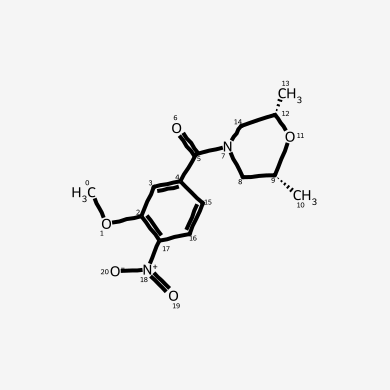 COc1cc(C(=O)N2C[C@@H](C)O[C@@H](C)C2)ccc1[N+](=O)[O-]